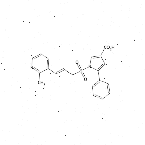 Cc1ncccc1C=CCS(=O)(=O)n1cc(C(=O)O)cc1-c1ccccc1